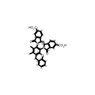 Cc1c(C)c(N2C(=O)c3ccc(C(=O)O)cc3C2=O)c(N2C(=O)c3ccc(C(=O)O)cc3C2=O)c2c1Cc1ccccc1O2